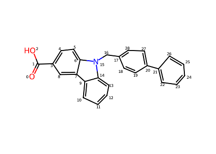 O=C(O)c1ccc2c(c1)c1ccccc1n2Cc1ccc(-c2ccccc2)cc1